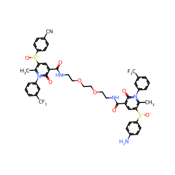 Cc1c([S+]([O-])c2ccc(N)cc2)cc(C(=O)NCCOCCOCCNC(=O)c2cc([S+]([O-])c3ccc(C#N)cc3)c(C)n(-c3cccc(C(F)(F)F)c3)c2=O)c(=O)n1-c1cccc(C(F)(F)F)c1